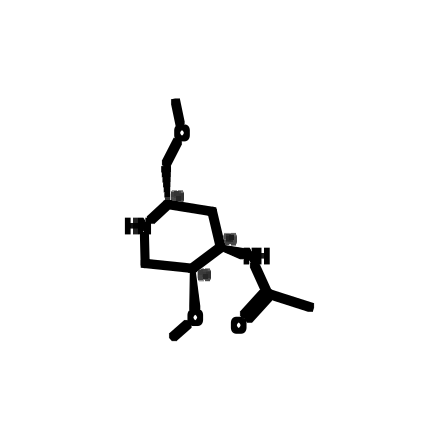 COC[C@@H]1C[C@@H](NC(C)=O)[C@@H](OC)CN1